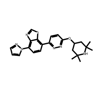 CC1(C)CC(Oc2ccc(-c3ccc(-n4cccn4)c4ncsc34)nn2)CC(C)(C)N1